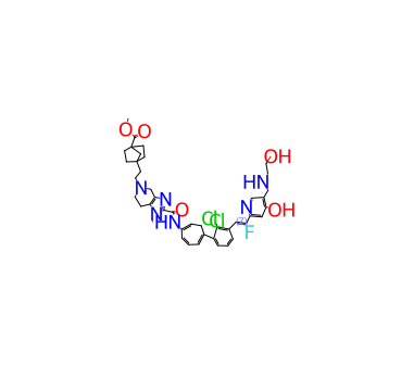 COC(=O)C12CCC(CCN3CCc4c(nc(C(=O)NC5=CC(Cl)C(c6cccc(/C=C(\F)c7cc(O)c(CNCCO)cn7)c6Cl)=CC=C5)n4C)C3)(CC1)C2